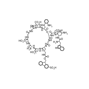 B[C@H]1NC(=O)[C@H](CC(=O)O)NC(=O)[C@H](CCCNC(=O)OCC2c3ccccc3-c3ccc(S(=O)(=O)O)cc32)NC(=O)CNC(=O)[C@@H](NC(=O)[C@H](CC(=O)O)NC(=O)[C@@H](CC(N)=O)NC(=O)C(N)Cc2c[nH]c3ccccc23)[C@@H](C)OC(=O)[C@H](CC(=O)c2ccccc2N)NC(=O)[C@H]([C@H](C)CC(=O)O)NC(=O)[C@@H](CO)NC(=O)CNC(=O)[C@H](CC(=O)O)NC1=O